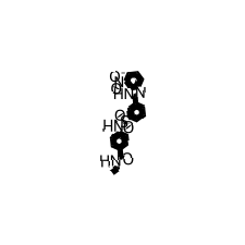 CCNC(=O)c1ccc(NS(=O)(=O)c2cccc(-c3nc4cccc([N+](=O)[O-])c4[nH]3)c2)cc1